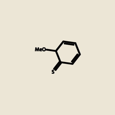 COC1C=CC=CC1=S